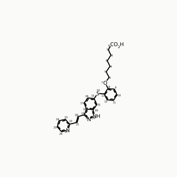 O=C(O)CCCCCCOc1ccccc1Sc1ccc2c(C=Cc3ccccn3)n[nH]c2c1